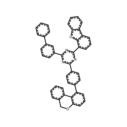 c1ccc(-c2cccc(-c3nc(-c4ccc(-c5cccc6c5-c5ccccc5CO6)cc4)nc(-c4cccc5c4oc4ccccc45)n3)c2)cc1